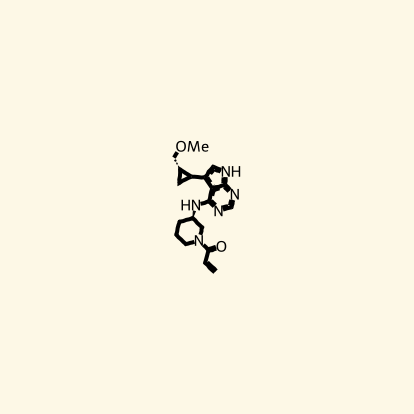 C=CC(=O)N1CCC[C@@H](Nc2ncnc3[nH]cc(C4C[C@@H]4COC)c23)C1